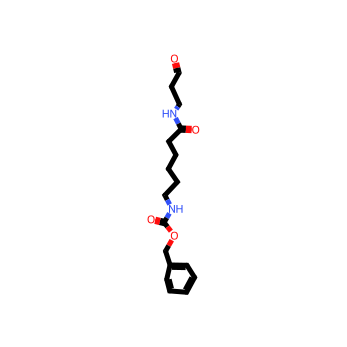 O=CCCNC(=O)CCCCCNC(=O)OCc1ccccc1